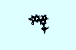 C[C@H]1[C@H](F)CN1c1nc2c(c(-c3ccc4c(c3)C(=O)N(C)C4)n1)CCC2